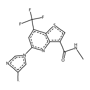 [CH2]c1cn(-c2cc(C(F)(F)F)c3scc(C(=O)NC)c3n2)cn1